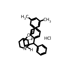 Cc1cc(C)cc(CO[C@@H]2C3CCN(CC3)[C@H]2C(c2ccccc2)c2ccccc2)c1.Cl